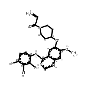 C=CC(=O)N1CCC(Oc2cc3c(Nc4ccc(F)c(Cl)c4F)ncnc3cc2OC)CC1